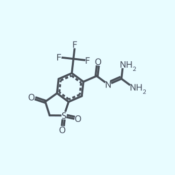 NC(N)=NC(=O)c1cc2c(cc1C(F)(F)F)C(=O)CS2(=O)=O